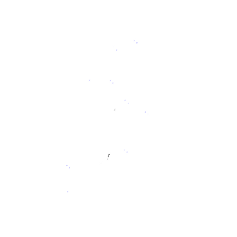 Cc1cc(NC(=O)[C@H]2C[C@@H]2c2nccc(C)n2)cc(N[C@H](C)c2cn3cc(C4CC4)cc(N4CC(=O)N(C)C4=O)c3n2)n1